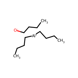 CCCC[O-].CCC[CH2][Al+][CH2]CCC